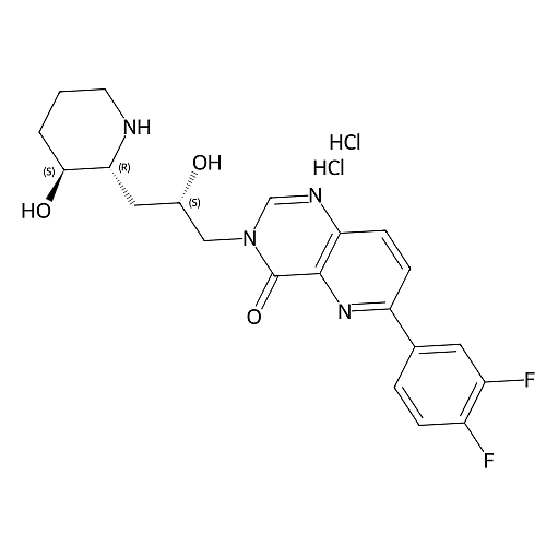 Cl.Cl.O=c1c2nc(-c3ccc(F)c(F)c3)ccc2ncn1C[C@@H](O)C[C@H]1NCCC[C@@H]1O